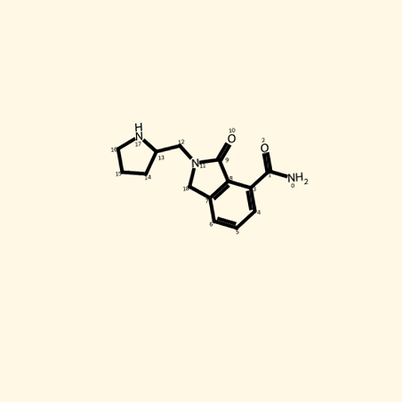 NC(=O)c1cccc2c1C(=O)N(CC1CCCN1)C2